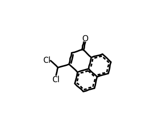 O=C1C=C(C(Cl)Cl)c2cccc3cccc1c23